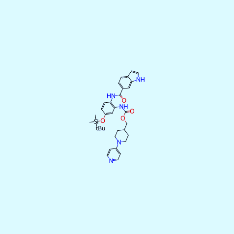 CC(C)(C)[Si](C)(C)Oc1ccc(NC(=O)c2ccc3cc[nH]c3c2)c(NC(=O)OCC2CCN(c3ccncc3)CC2)c1